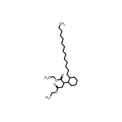 CCCCCCCCCCCCCCC1CCCCC1C(CC(=O)OCC)C(=O)OCC